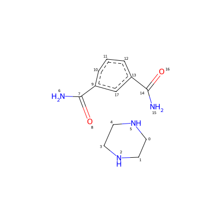 C1CNCCN1.NC(=O)c1cccc(C(N)=O)c1